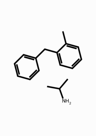 CC(C)N.Cc1ccccc1Cc1ccccc1